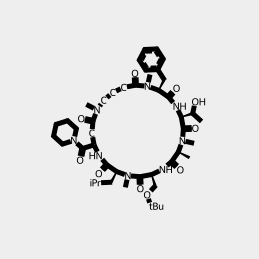 CC(C)C[C@H]1C(=O)NC(C(=O)N2CCCCC2)CC(=O)N(C)CCCC(=O)N(C)[C@@H](Cc2ccccc2)C(=O)N[C@@H](C(C)O)C(=O)N(C)[C@@H](C)C(=O)N[C@@H](COC(C)(C)C)C(=O)N1C